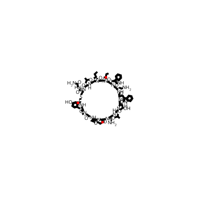 CCCC[C@H]1C(=O)N(C)[C@@H](CCCC)C(=O)N[C@@H](CC(C)C)C(=O)N[C@H](C(=O)NCC(N)=O)CSCC(=O)N[C@@H](Cc2ccc(O)cc2)C(=O)N(C)[C@@H](C)C(=O)NC2(CC2)C(=O)N2CCC[C@H]2C(=O)N[C@@H](CN)C(=O)N[C@@H](CC(C)C)C(=O)N2C[C@H](O)C[C@H]2C(=O)NC(Cc2c[nH]c3ccccc23)C(=O)N[C@@H](CCN)C(=O)N[C@@H](Cc2c[nH]c3ccccc23)C(=O)N1C